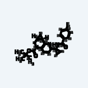 CC(C)(C)OC(=O)N1C[C@H]2C[C@H]2c2nc(C3(NC(=O)c4ccc(F)cc4)CC3)ccc21